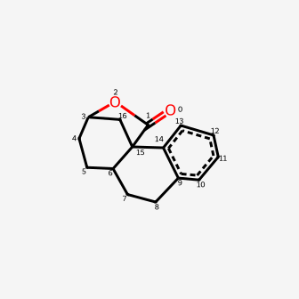 O=C1OC2CCC3CCc4ccccc4C13C2